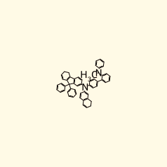 CN(c1ccccc1)c1ccccc1-c1ccc(N(c2ccc3c(c2)CCC=C3)c2ccc3c(c2)C(c2ccccc2)(c2ccccc2)C2=C3CCC=C2)cc1